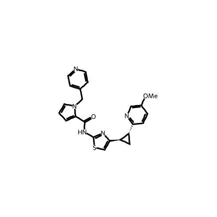 COc1ccc([C@@H]2C[C@H]2c2csc(NC(=O)c3cccn3Cc3ccncc3)n2)nc1